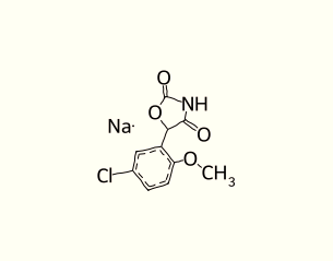 COc1ccc(Cl)cc1C1OC(=O)NC1=O.[Na]